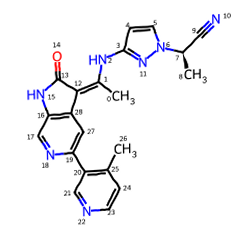 C/C(Nc1ccn([C@H](C)C#N)n1)=C1/C(=O)Nc2cnc(-c3cnccc3C)cc21